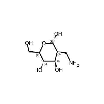 NC[C@H]1[C@@H](O)[C@H](O)[C@@H](CO)O[C@@H]1O